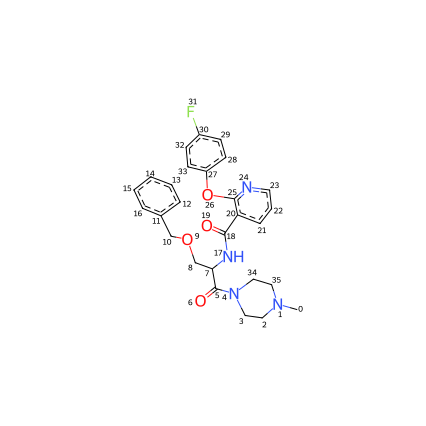 CN1CCN(C(=O)C(COCc2ccccc2)NC(=O)c2cccnc2Oc2ccc(F)cc2)CC1